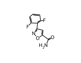 NC(=O)c1cc(-c2c(F)cccc2F)no1